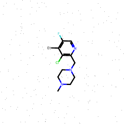 CCc1c(F)cnc(CN2CCN(C)CC2)c1Cl